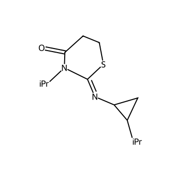 CC(C)C1CC1/N=C1\SCCC(=O)N1C(C)C